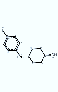 O[C@H]1CC[C@H](Nc2ccc(I)cc2)CC1